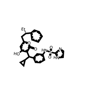 CC[C@@H](Cc1cc(O)c(C(c2cccc(NS(=O)(=O)c3ncc[nH]3)c2)C2CC2)c(=O)o1)c1ccccc1